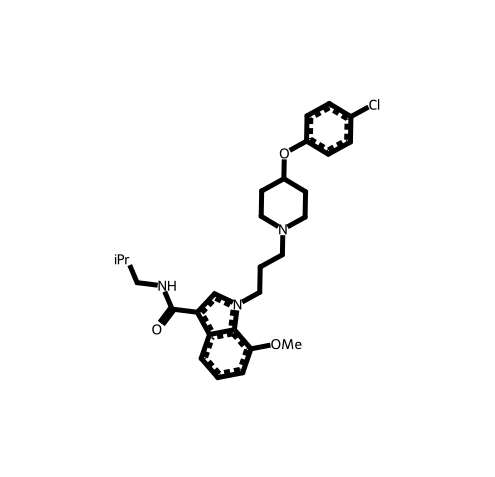 COc1cccc2c(C(=O)NCC(C)C)cn(CCCN3CCC(Oc4ccc(Cl)cc4)CC3)c12